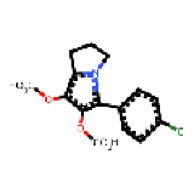 O=C(O)Oc1c(OC(=O)O)c(-c2ccc(Cl)cc2)n2c1CCC2